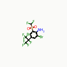 Nc1c(Br)cc(C(F)(C(F)(F)F)C(F)(F)Br)cc1S(=O)(=O)C(F)F